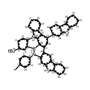 Cc1ccc(N2B3c4cc(C(C)(C)C)ccc4-n4c5ccccc5c5c(-c6ccc7c(c6)oc6ccccc67)cc(c3c54)-c3cc4c(cc32)sc2ccccc24)cc1